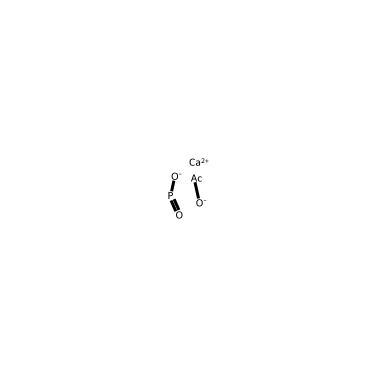 CC(=O)[O-].O=P[O-].[Ca+2]